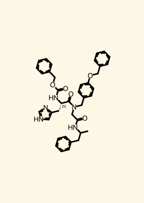 CC(Cc1ccccc1)NC(=O)CN(Cc1ccc(OCc2ccccc2)cc1)C(=O)[C@H](Cc1c[nH]cn1)NC(=O)OCc1ccccc1